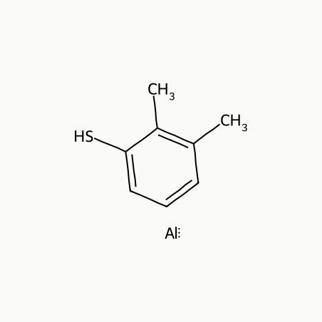 Cc1cccc(S)c1C.[Al]